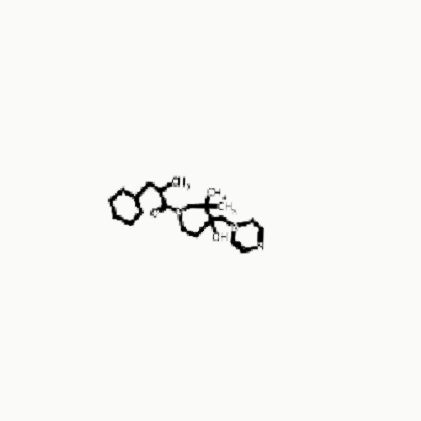 CC(CC1CCCCC1)C(=O)N1CCC(O)(CN2C=CN=CC2)C(C)(C)C1